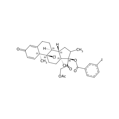 CC(=O)OCC(=O)[C@@]1(OC(=O)c2cccc(I)c2)C(C)C[C@H]2[C@@H]3CCC4=CC(=O)C=C[C@]4(C)[C@@]3(Cl)CC[C@@]21C